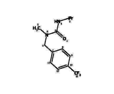 CC(C)NC(=O)N(C)Cc1ccc(C(F)(F)F)cc1